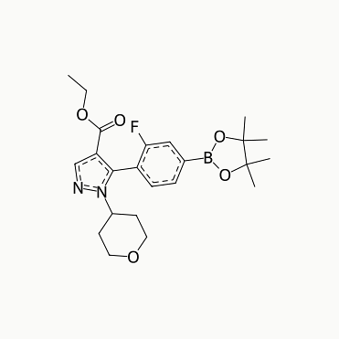 CCOC(=O)c1cnn(C2CCOCC2)c1-c1ccc(B2OC(C)(C)C(C)(C)O2)cc1F